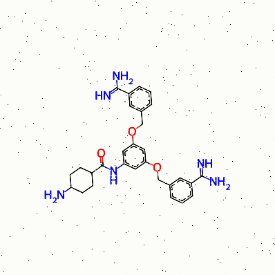 N=C(N)c1cccc(COc2cc(NC(=O)C3CCC(N)CC3)cc(OCc3cccc(C(=N)N)c3)c2)c1